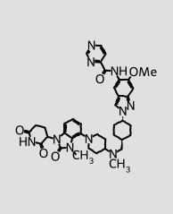 COc1cc2nn([C@H]3CC[C@H](CN(C)C4CCN(c5cccc6c5n(C)c(=O)n6C5CCC(=O)NC5=O)CC4)CC3)cc2cc1NC(=O)c1ccncn1